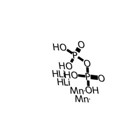 O=P(O)(O)OP(=O)(O)O.[LiH].[LiH].[Mn].[Mn]